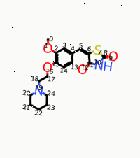 COc1cc(C=C2SC(=O)NC2=O)ccc1OCCN1CCCCC1